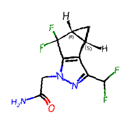 NC(=O)Cn1nc(C(F)F)c2c1C(F)(F)[C@@H]1C[C@H]21